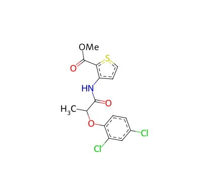 COC(=O)c1sccc1NC(=O)C(C)Oc1ccc(Cl)cc1Cl